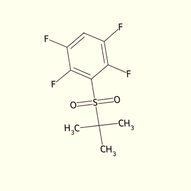 CC(C)(C)S(=O)(=O)c1c(F)c(F)cc(F)c1F